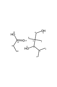 CC(C)C(O)C(C)(C)CO.CCC(=O)O